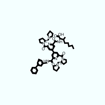 CCCCCC(C)[C@H](NC(=O)c1cc(-c2cc(C(=O)NCc3cccc(-c4ccccc4)c3)nc(C(=O)N3CCC[C@H]3CN3CCCC3)c2)cc(C(=O)N2CCC[C@H]2CN2CCCC2)n1)C(=O)O